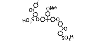 COc1ccc(C(C)(c2ccc(Oc3ccc(C(=O)c4cccc(S(=O)(=O)O)c4)cc3)cc2)c2ccc(Oc3ccc(C(=O)c4ccc(C)cc4)cc3S(=O)(=O)O)cc2)cc1